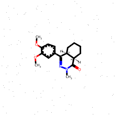 COc1ccc(C2=NN(C)C(=O)[C@@H]3CCCC[C@H]23)cc1OC